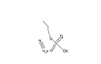 C#N.CCOS(=O)(=O)O.P